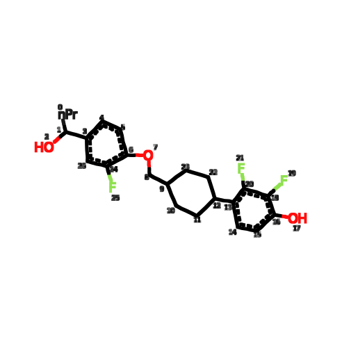 CCCC(O)c1ccc(OCC2CCC(c3ccc(O)c(F)c3F)CC2)c(F)c1